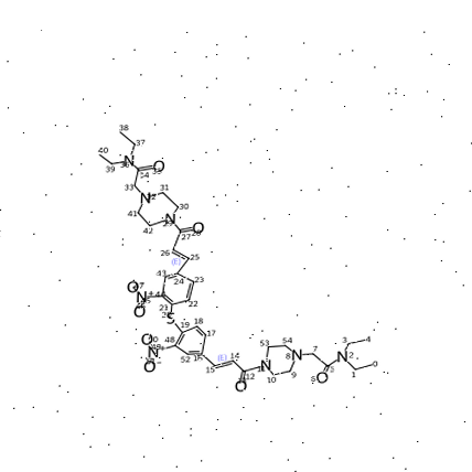 CCN(CC)C(=O)CN1CCN(C(=O)/C=C/c2ccc(Sc3ccc(/C=C/C(=O)N4CCN(CC(=O)N(CC)CC)CC4)cc3[N+](=O)[O-])c([N+](=O)[O-])c2)CC1